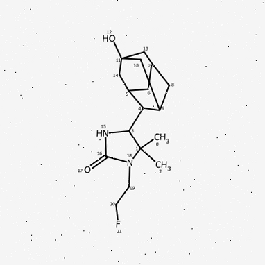 CC1(C)C(C2C3CC4CC2CC(O)(C4)C3)NC(=O)N1CCF